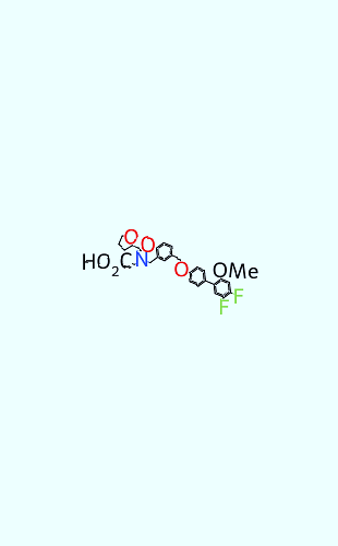 COc1cc(F)c(F)cc1-c1ccc(OCc2cccc(CN(CC(=O)O)C(=O)[C@H]3CCCO3)c2)cc1